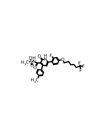 Cc1ccc(-c2cc(-c3ccc(OCCCCCC(F)(F)F)cc3F)[nH]c(=O)c2C(=O)NS(C)(=O)=O)cc1